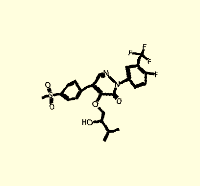 CC(C)C(O)COc1c(-c2ccc(S(C)(=O)=O)cc2)cnn(-c2ccc(F)c(C(F)(F)F)c2)c1=O